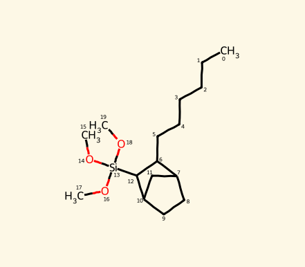 CCCCCCC1C2CCC(C2)C1[Si](OC)(OC)OC